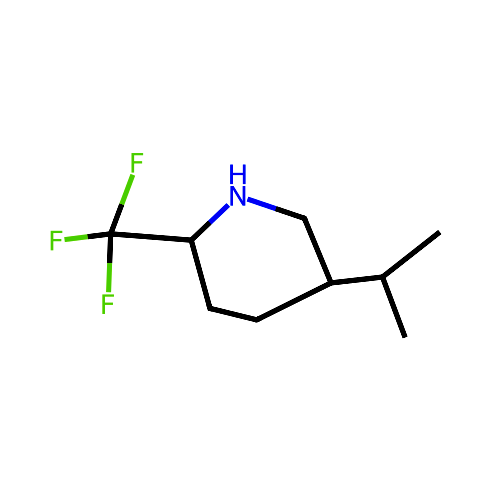 CC(C)C1CCC(C(F)(F)F)NC1